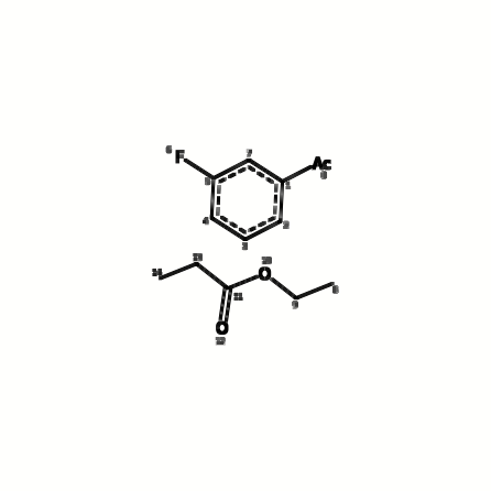 CC(=O)c1cccc(F)c1.CCOC(=O)CC